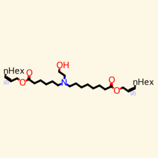 CCCCCC/C=C\COC(=O)CCCCCCCN(CCO)CCCCCC(=O)OC/C=C\CCCCCC